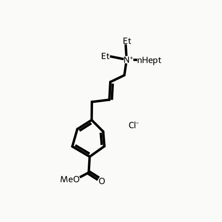 CCCCCCC[N+](CC)(CC)CC=CCc1ccc(C(=O)OC)cc1.[Cl-]